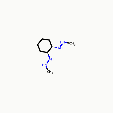 CNN[C@H]1CCCC[C@@H]1NNC